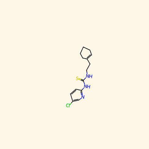 S=C(NCCC1=CCCCC1)Nc1ccc(Cl)cn1